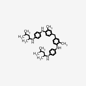 Cc1cc(Cc2ccc(Nc3ccc(NC(C)CC(C)C)cc3)c(C)c2)ccc1Nc1ccc(NC(C)CC(C)C)cc1